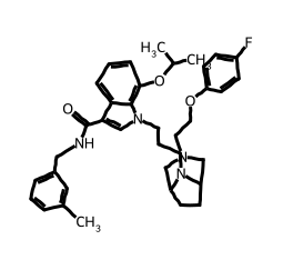 Cc1cccc(CNC(=O)c2cn(CCCN3C4CCC3CN(CCOc3ccc(F)cc3)C4)c3c(OC(C)C)cccc23)c1